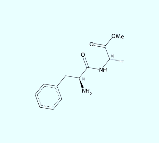 COC(=O)[C@H](C)NC(=O)[C@@H](N)Cc1ccccc1